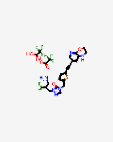 NCC(Cn1ncn(Cc2ccc(C#Cc3cnc4c(c3)NCCO4)s2)c1=O)=C(F)F.O=C(O)C(F)(F)F.O=C(O)C(F)(F)F